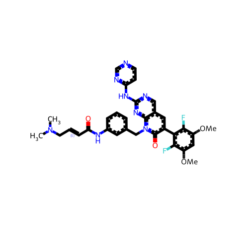 COc1cc(OC)c(F)c(-c2cc3cnc(Nc4ccncn4)nc3n(Cc3cccc(NC(=O)/C=C/CN(C)C)c3)c2=O)c1F